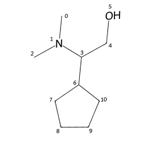 CN(C)C(CO)C1CCCC1